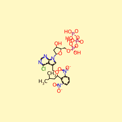 CC(C)CC(OCc1cn([C@H]2C[C@@H](O)[C@@H](COP(=O)(O)OP(=O)(O)OP(=O)(O)O)O2)c2ncnc(Cl)c12)c1c([N+](=O)[O-])cccc1[N+](=O)[O-]